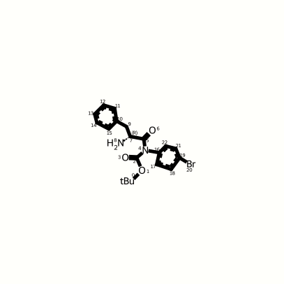 CC(C)(C)OC(=O)N(C(=O)[C@H](N)Cc1ccccc1)c1ccc(Br)cc1